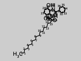 CCCCCCCCCCCCCCCCS(=O)(=O)Nc1c(O)ccc(O)c1NC(=O)c1ccccc1